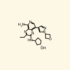 CCc1nc2c(N)ncc(-c3cnn(C4COC4)c3)c2nc1NC1CC[C@H](O)C1